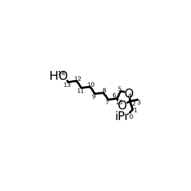 CC(C)CC1(C)OCC(CCCCCCCO)O1